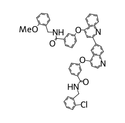 COc1ccccc1CNC(=O)c1cccc(Oc2cc(-c3ccc4nccc(Oc5cccc(C(=O)NCc6ccccc6Cl)c5)c4c3)nc3ccccc23)c1